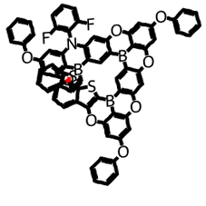 Fc1cccc(F)c1N1c2cc3c(cc2B2c4sc5ccccc5c4Oc4cc(Oc5ccccc5)cc1c42)B1c2cc4c(cc2Oc2cc(Oc5ccccc5)cc(c21)O3)Oc1cc(Oc2ccccc2)cc2c1B4c1sc3ccccc3c1O2